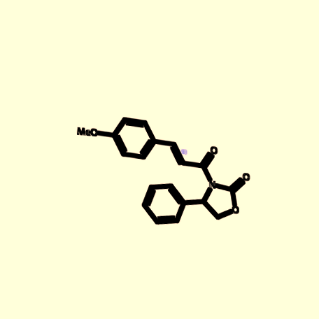 COc1ccc(/C=C/C(=O)N2C(=O)OCC2c2ccccc2)cc1